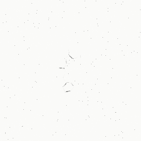 Cc1nc(C(=O)OCc2ccccc2)sc1C